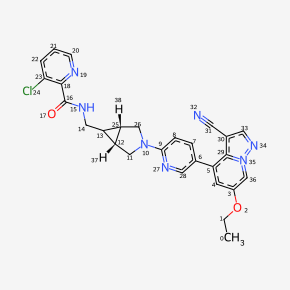 CCOc1cc(-c2ccc(N3C[C@@H]4C(CNC(=O)c5ncccc5Cl)[C@@H]4C3)nc2)c2c(C#N)cnn2c1